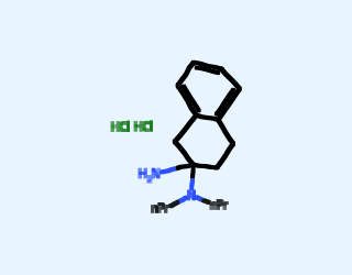 CCCN(CCC)C1(N)CCc2ccccc2C1.Cl.Cl